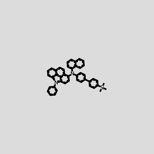 C[Si](C)(C)c1ccc(-c2ccc(N(c3cccc4ccccc34)c3ccc4c5c3ccc3cccc(c35)n4-c3ccccc3)cc2)cc1